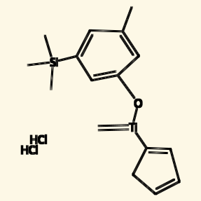 Cl.Cl.[CH2]=[Ti]([O]c1cc(C)cc([Si](C)(C)C)c1)[C]1=CC=CC1